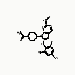 CC(C)Nc1ncc2nc(Nc3c(Cl)cc(C#N)cc3Cl)n(C3CCC(C(N)=O)CC3)c2n1